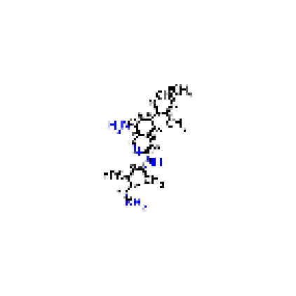 C=C/C=C(C)\C(=C/C)c1cc(N)c2cnc(NC(=C)/C=C(/CCC)CCN)cc2c1